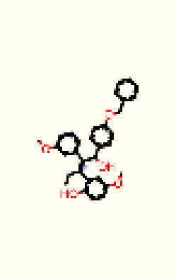 CC/C(=C(\c1cccc(OC)c1)C(O)c1ccc(OCc2ccccc2)cc1)c1cc(OC)ccc1O